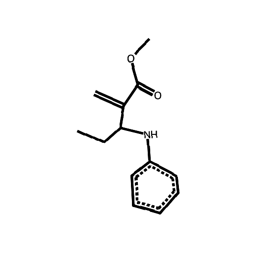 C=C(C(=O)OC)C(CC)Nc1ccccc1